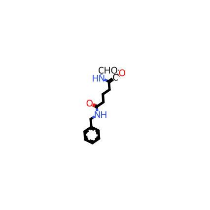 O=[C]NC(=C=O)CCCC(=O)NCc1ccccc1